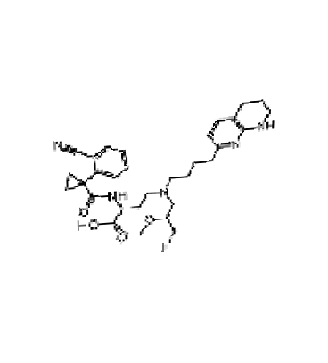 CO[C@H](CF)CN(CCCCc1ccc2c(n1)NCCC2)CC[C@H](NC(=O)C1(c2ccccc2C#N)CC1)C(=O)O